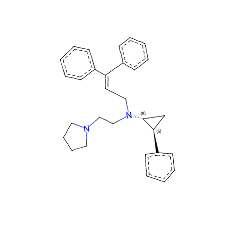 C(CN(CCN1CCCC1)[C@@H]1C[C@H]1c1ccccc1)=C(c1ccccc1)c1ccccc1